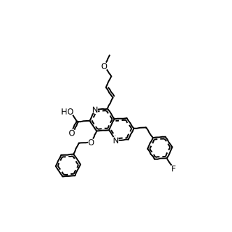 COCC=Cc1nc(C(=O)O)c(OCc2ccccc2)c2ncc(Cc3ccc(F)cc3)cc12